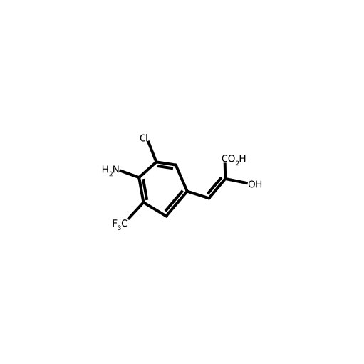 Nc1c(Cl)cc(/C=C(/O)C(=O)O)cc1C(F)(F)F